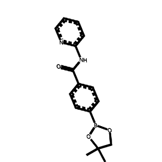 CC1(C)COB(c2ccc(C(=O)Nc3ccccn3)cc2)O1